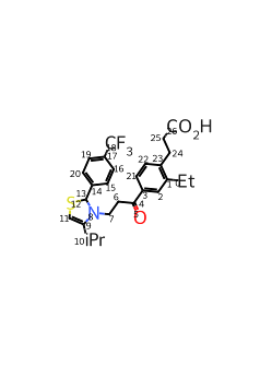 CCc1cc(C(=O)CCN2C(C(C)C)=CSC2c2ccc(C(F)(F)F)cc2)ccc1CCC(=O)O